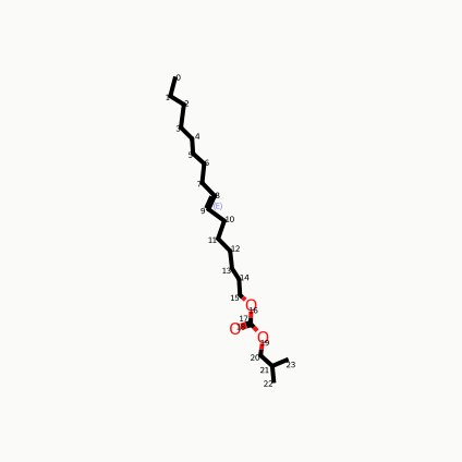 CCCCCCCC/C=C/CCCCCCOC(=O)OCC(C)C